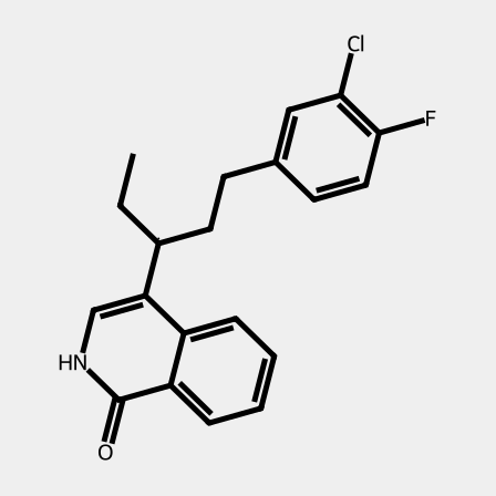 CC[C](CCc1ccc(F)c(Cl)c1)c1c[nH]c(=O)c2ccccc12